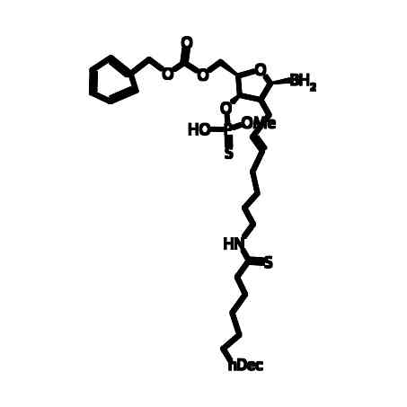 B[C@@H]1O[C@H](COC(=O)OCc2ccccc2)[C@H](OP(O)(=S)OC)C1C/C=C/CCCCNC(=S)CCCCCCCCCCCCCCC